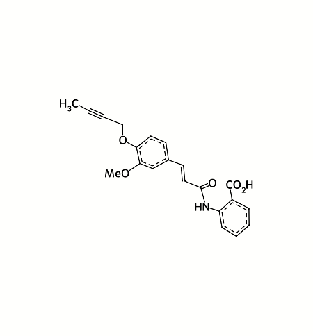 CC#CCOc1ccc(C=CC(=O)Nc2ccccc2C(=O)O)cc1OC